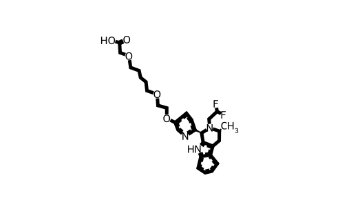 C[C@@H]1Cc2c([nH]c3ccccc23)[C@@H](c2ccc(OCCOCCCCCOCC(=O)O)cn2)N1CC(F)F